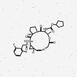 CC1OC(=O)CC/C=C\[C@@H]2C[C@@]2(P(=O)(O)Cc2c(F)cccc2F)NC(=O)[C@@H]2CCCN2C(=O)C1NC(=O)OC1CCCC1